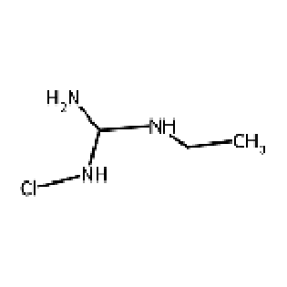 CCNC(N)NCl